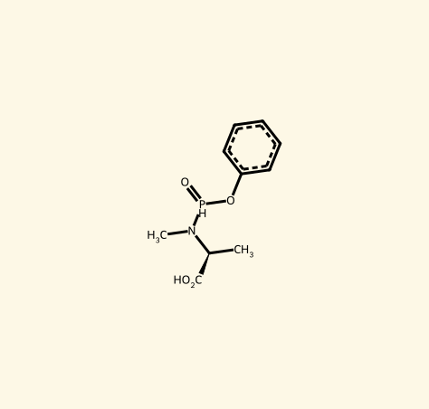 C[C@@H](C(=O)O)N(C)[PH](=O)Oc1ccccc1